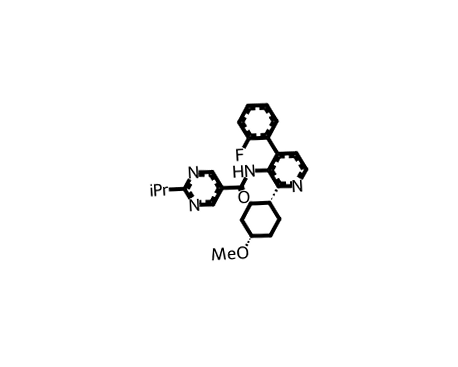 CO[C@H]1CC[C@@H](c2nccc(-c3ccccc3F)c2NC(=O)c2cnc(C(C)C)nc2)CC1